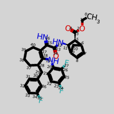 CCOC(=O)[C@H]1C2C=CC(C2)[C@H]1NC(=O)C(=N)C1=C(Nc2ccc(F)cc2F)C(Cc2cccc(F)c2)CCCC1